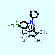 CC1=C(C)C(C)(C)[C]([Zr][N](c2ccccc2)c2ccccc2)=C1C.Cl.Cl